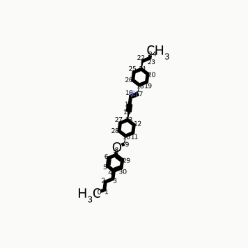 CCCCc1ccc(OC[C@H]2CC[C@H](C#C/C=C/[C@H]3CC[C@H](CCC)CC3)CC2)cc1